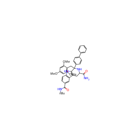 CCCCNC(=O)c1ccc2[nH]c3c(c2c1)CC(C(N)=O)NC3(Cc1c(OC)cc(OC)cc1OC)c1ccc(-c2ccccc2)cc1